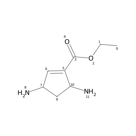 CCOC(=O)C1=CC(N)CC1N